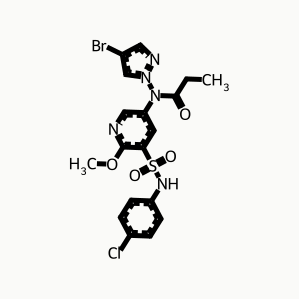 CCC(=O)N(c1cnc(OC)c(S(=O)(=O)Nc2ccc(Cl)cc2)c1)n1cc(Br)cn1